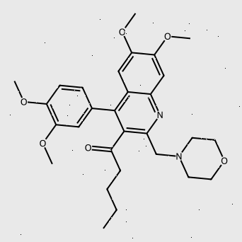 CCCCC(=O)c1c(CN2CCOCC2)nc2cc(OC)c(OC)cc2c1-c1ccc(OC)c(OC)c1